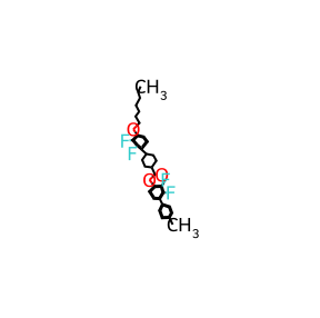 CCCCCCCOc1ccc(C2CCC(C(=O)Oc3ccc(-c4ccc(C)cc4)c(F)c3F)CC2)c(F)c1F